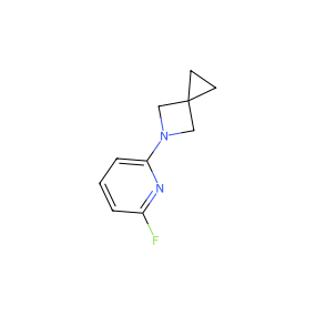 Fc1cccc(N2CC3(CC3)C2)n1